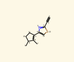 C#Cc1nc(C2=C(C)C(C)CC2)cs1